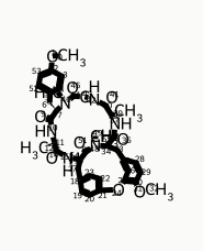 COc1ccc(C[C@H]2C(=O)N[C@@H](C)C(=O)N[C@H]3Cc4ccc(cc4)Oc4cc(ccc4OC)C[C@@H](C(=O)N[C@H](C)C(=O)NCC(=O)N2C)N(C)C3=O)cc1